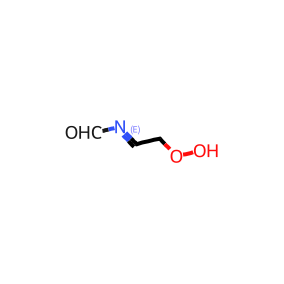 O=C/N=C/COO